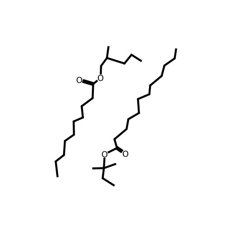 CCCCCCCCCC(=O)OCC(C)CCC.CCCCCCCCCCCC(=O)OC(C)(C)CC